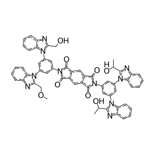 COCc1nc2ccccc2n1-c1cc(-n2c(=O)c3cc4c(=O)n(-c5cc(-n6c(C(C)O)nc7ccccc76)cc(-n6c(C(C)O)nc7ccccc76)c5)c(=O)c4cc3c2=O)cc(-n2c(CO)nc3ccccc32)c1